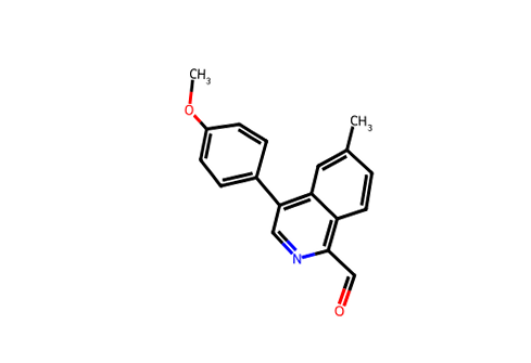 COc1ccc(-c2cnc(C=O)c3ccc(C)cc23)cc1